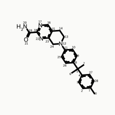 Cc1ccc(C(C)(C)c2ccc(N3CCc4cnc(C(N)=O)nc4C3)cc2)cc1